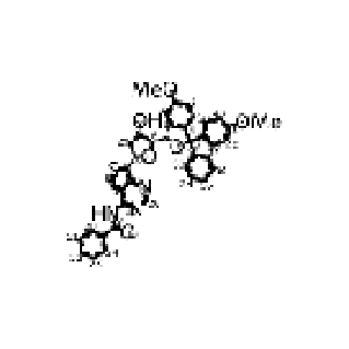 COc1ccc(C(OC[C@H]2O[C@@H](c3snc4c(NC(=O)c5ccccc5)ncnc34)C[C@@H]2O)(c2ccccc2)c2ccc(OC)cc2)cc1